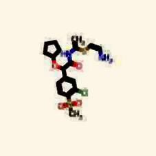 C=C(NC(=O)C(OC1CCCC1)c1ccc(S(C)(=O)=O)c(Cl)c1)S/C=C\N